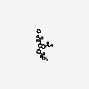 COC(=O)c1cccc(-c2ccc(CNC(=O)[C@H]3C[C@@H]3c3ccccc3)c3c2CCN(C(=O)CC2CC2)C3)c1